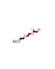 CC(=O)OCCOCCOC(=O)CBr